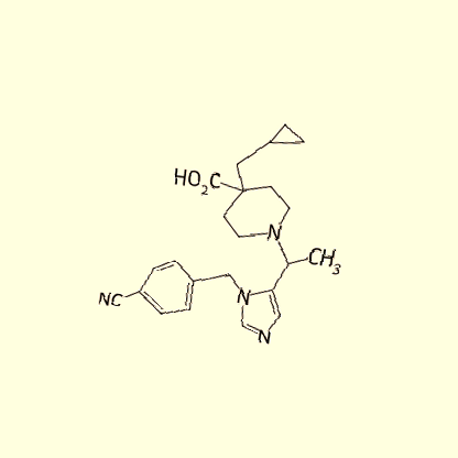 CC(c1cncn1Cc1ccc(C#N)cc1)N1CCC(CC2CC2)(C(=O)O)CC1